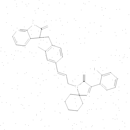 O=C1C(c2ccccc2F)=NC2(CCCCC2)N1C/C=C/c1ccc2c(c1)C[C@@]1(C2)C(=O)Nc2ncccc21